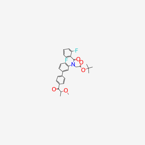 COC(C)C(=O)c1ccc(-c2cccc(N(CC(=O)OC(C)(C)C)C(=O)c3c(F)cccc3F)c2)cc1